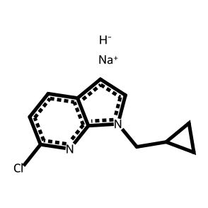 Clc1ccc2ccn(CC3CC3)c2n1.[H-].[Na+]